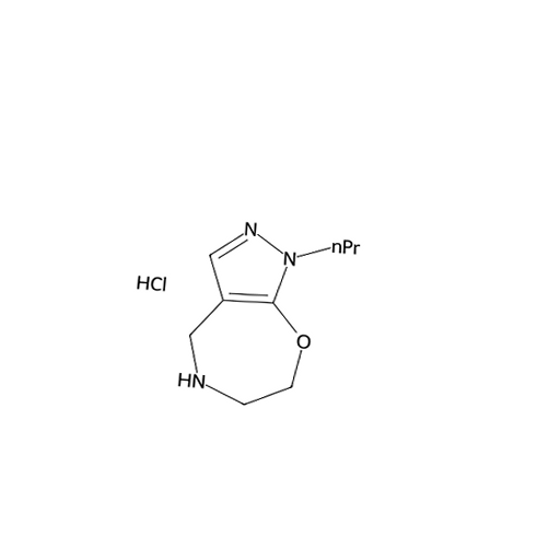 CCCn1ncc2c1OCCNC2.Cl